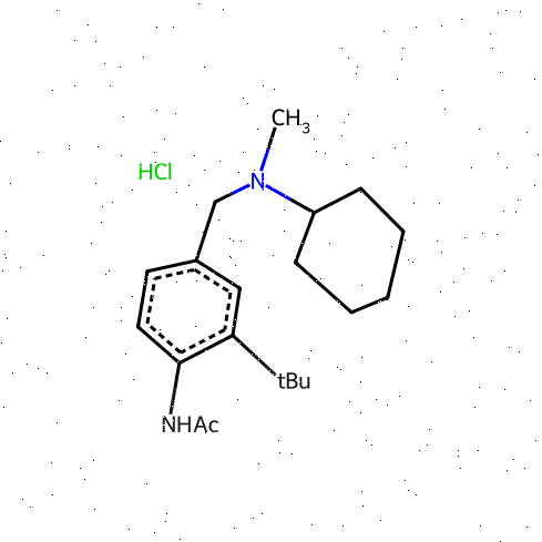 CC(=O)Nc1ccc(CN(C)C2CCCCC2)cc1C(C)(C)C.Cl